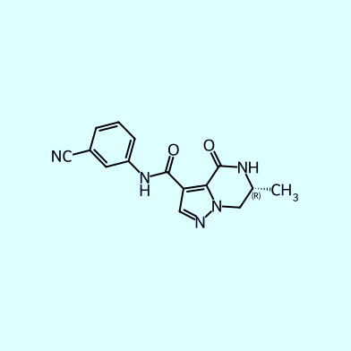 C[C@@H]1Cn2ncc(C(=O)Nc3cccc(C#N)c3)c2C(=O)N1